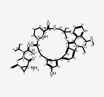 C=C[C@@H]1C[C@]1(N)C(=O)N(C)[C@H](C(=O)N[C@H]1Cc2cc(O)cc(c2)-c2ccc3c(c2)c(c(-c2cccnc2[C@H](C)OC)n3CC)CC(C)(C)COC(=O)[C@@H]2CCCN(N2)C1=O)C(C)C